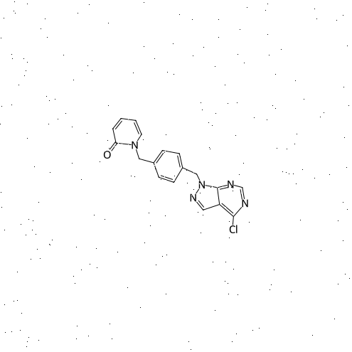 O=c1ccccn1Cc1ccc(Cn2ncc3c(Cl)ncnc32)cc1